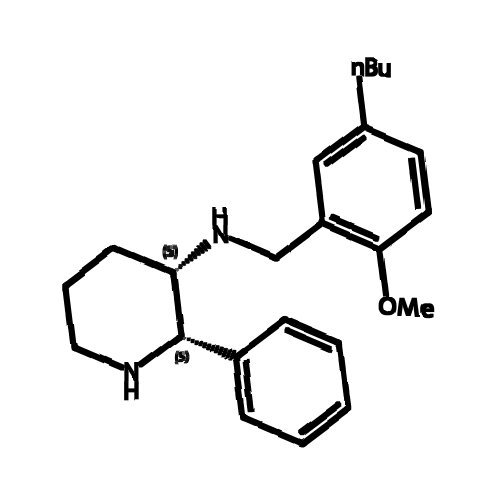 CCCCc1ccc(OC)c(CN[C@H]2CCCN[C@H]2c2ccccc2)c1